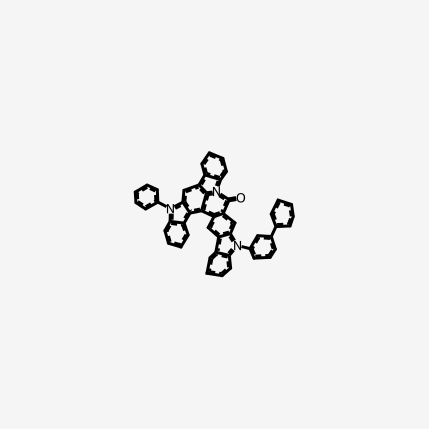 O=c1c2cc3c(cc2c2c4c5ccccc5n(-c5ccccc5)c4cc4c5ccccc5n1c42)c1ccccc1n3-c1cccc(-c2ccccc2)c1